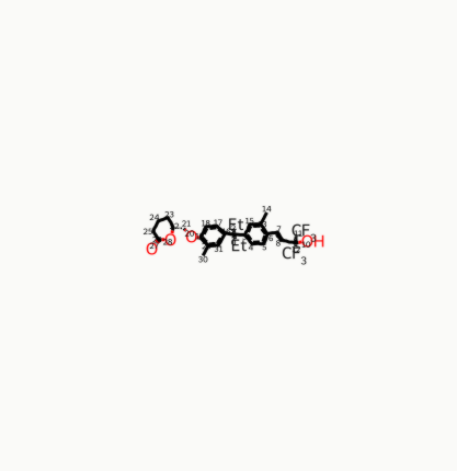 CCC(CC)(c1ccc(/C=C/C(O)(C(F)(F)F)C(F)(F)F)c(C)c1)c1ccc(OC[C@H]2CCCC(=O)O2)c(C)c1